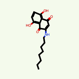 CCCCCCCCNC1=CC(=O)c2c(O)ccc(O)c2C1=O